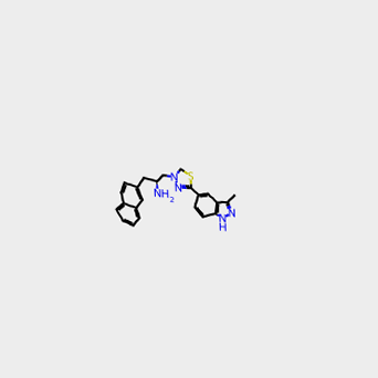 Cc1n[nH]c2ccc(C3=NN(C[C@@H](N)Cc4ccc5ccccc5c4)CS3)cc12